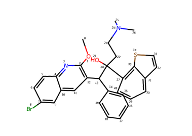 COc1nc2ccc(Br)cc2cc1C(c1ccccc1)C(O)(CCN(C)C)c1cccc2ccsc12